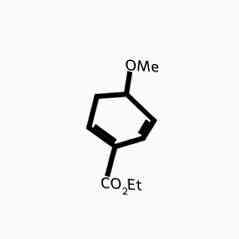 CCOC(=O)C1=CCC(OC)C=C1